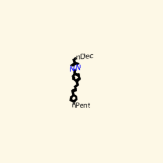 CCCCCCCCCCCc1cnc(-c2ccc(CCC=CC3CCC(CCCCC)CC3)cc2)nc1